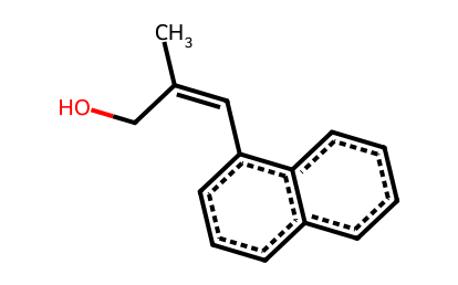 CC(=Cc1cccc2ccccc12)CO